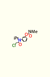 CNC(=O)Oc1cccc(N(C(=O)CCl)C(C)C)c1